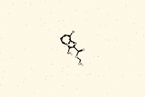 CCOC(=O)c1nc2c(Br)cccn2c1N